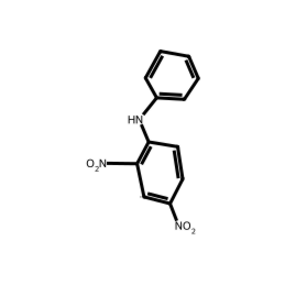 O=[N+]([O-])c1[c]c([N+](=O)[O-])c(Nc2ccccc2)cc1